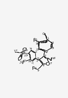 Cc1ccc(-c2noc(CF)c2-c2ccc(S(C)(=O)=O)c(F)c2)cc1F